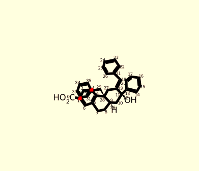 O=C(O)c1ccc2c(c1)CC[C@@H]1C[C@@](O)(c3ccccc3)/C(=C/c3ccccc3)C[C@@]21Cc1ccccc1